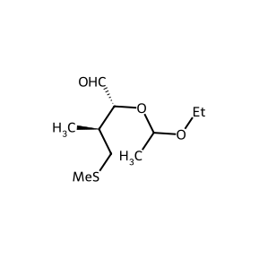 CCOC(C)O[C@@H](C=O)[C@H](C)CSC